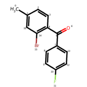 Cc1ccc(C(=O)c2ccc(F)cc2)c(Br)c1